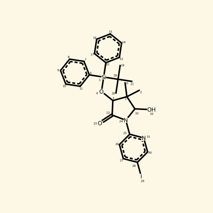 CC1(C)C(O[Si](c2ccccc2)(c2ccccc2)C(C)(C)C)C(=O)N(c2ccc(I)cn2)C1O